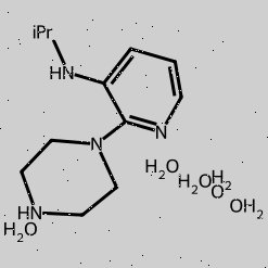 CC(C)Nc1cccnc1N1CCNCC1.O.O.O.O.O